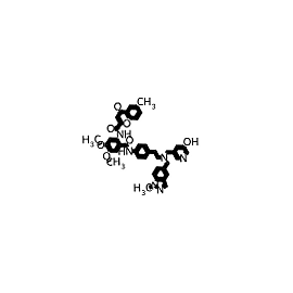 COc1cc(NC(=O)c2cc(=O)c3cc(C)ccc3o2)c(C(=O)Nc2ccc(CCN(Cc3cncc(O)c3)Cc3ccc4c(cnn4C)c3)cc2)cc1OC